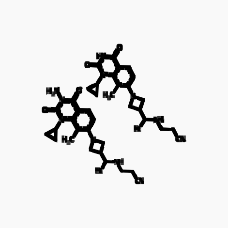 CCC(NCCC#N)C1CN(c2ccc3c(=O)[nH]c(=O)n(C4CC4)c3c2C)C1.CCC(NCCC#N)C1CN(c2ccc3c(=O)n(N)c(=O)n(C4CC4)c3c2C)C1